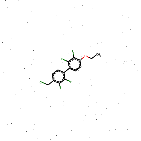 CCOc1ccc(-c2ccc(CCl)c(F)c2F)c(F)c1F